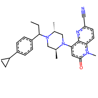 CCC(c1ccc(C2CC2)cc1)N1C[C@H](C)N(c2cc(=O)n(C)c3ccc(C#N)nc23)C[C@H]1C